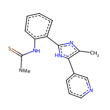 CNC(=S)Nc1ccccc1-c1nc(C)c(-c2cccnc2)[nH]1